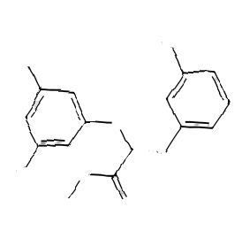 COC(=O)[C@@H](Cc1cccc(Cl)c1)Oc1cc(Cl)cc(Cl)c1